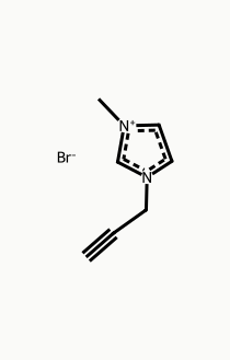 C#CCn1cc[n+](C)c1.[Br-]